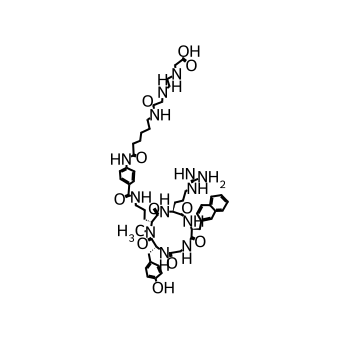 CN1C(=O)[C@@H](Cc2ccc(O)cc2)NC(=O)CNC(=O)[C@H](Cc2ccc3ccccc3c2)NC(=O)[C@H](CCCNC(=N)N)NC(=O)[C@H]1CCCNC(=O)c1ccc(NC(=O)CCCCCNC(=O)CNCCNCC(=O)O)cc1